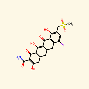 CS(=O)(=O)Cc1cc(I)c2c(c1O)C(=O)C1=C(O)C3C(=O)C(C(N)=O)=C(O)CC3CC1C2